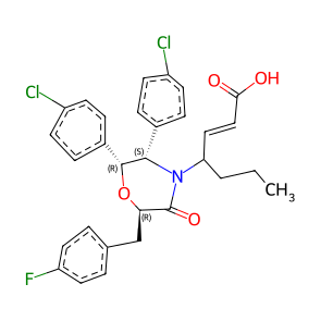 CCCC(C=CC(=O)O)N1C(=O)[C@@H](Cc2ccc(F)cc2)O[C@H](c2ccc(Cl)cc2)[C@@H]1c1ccc(Cl)cc1